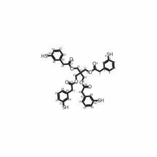 O=C(Cc1cccc(S)c1)OCC(COC(=O)Cc1cccc(S)c1)(COC(=O)Cc1cccc(S)c1)COC(=O)Cc1cccc(S)c1